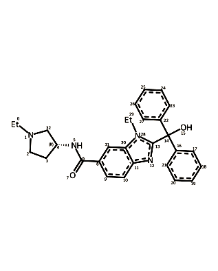 CCN1CC[C@@H](NC(=O)c2ccc3nc(C(O)(c4ccccc4)c4ccccc4)n(CC)c3c2)C1